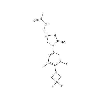 CC(=O)NC[C@H]1CN(c2cc(F)c(N3CC(F)(F)C3)c(F)c2)C(=O)O1